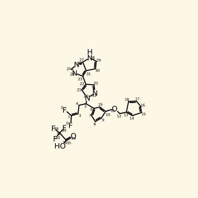 FC(F)=CCC(c1cccc(OCc2ccccc2)c1)n1cc(-c2ncnc3[nH]ccc23)cn1.O=C(O)C(F)(F)F